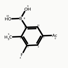 CC(=O)c1cc(F)c(C)c(B(O)O)c1